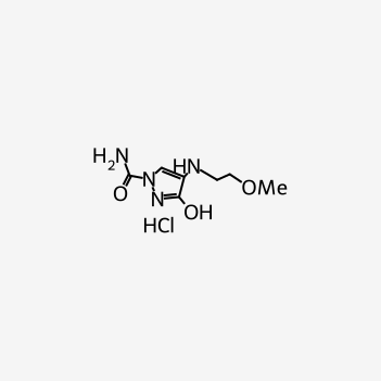 COCCNc1cn(C(N)=O)nc1O.Cl